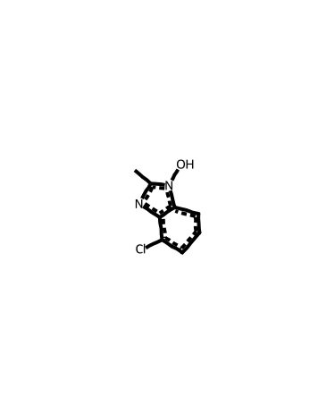 Cc1nc2c(Cl)cccc2n1O